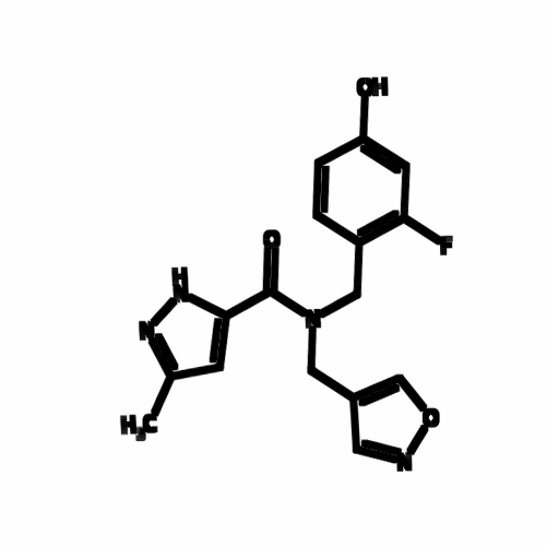 Cc1cc(C(=O)N(Cc2cnoc2)Cc2ccc(O)cc2F)[nH]n1